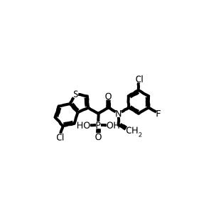 C=CN(C(=O)C(c1csc2ccc(Cl)cc12)P(=O)(O)O)c1cc(F)cc(Cl)c1